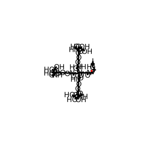 CC(=O)NC1C(OCCOCCOCCNC(=O)CCC(CCC(=O)NCCOCCOCCOC2OC(CO)C(O)C(O)C2NC(C)=O)(CCC(=O)NCCOCCOCCOC2OC(CO)C(O)C(O)C2NC(C)=O)NC(=O)CCCC(=O)NCC(C)(C)CC(C)(C)COC2CC(I)C2)OC(CO)C(O)C1O